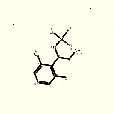 CC[Si](CC)(CC)OC(CN)c1c(C)cncc1Cl